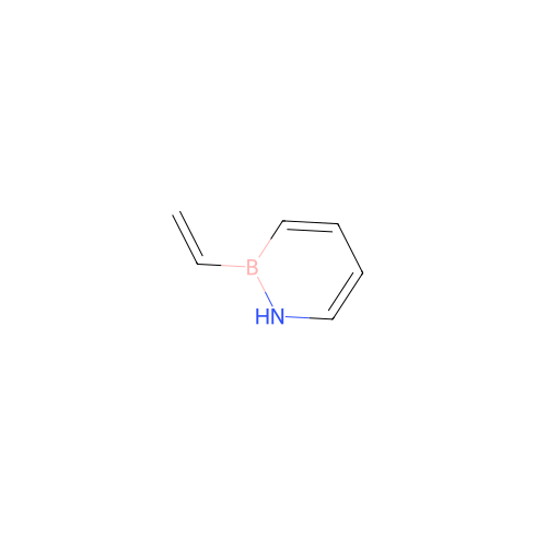 C=CB1C=CC=CN1